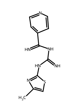 Cc1csc(NC(=N)NC(=N)c2ccncc2)n1